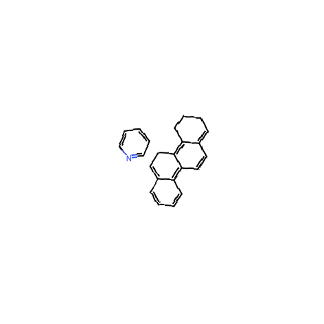 C1=c2ccc3c(c2CCC1)CC=c1ccccc1=3.c1ccncc1